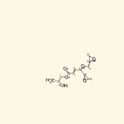 CC(O)COC(=O)C=CC(OCC1CO1)C1CO1